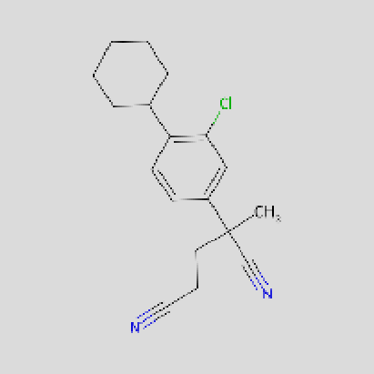 CC(C#N)(CCC#N)c1ccc(C2CCCCC2)c(Cl)c1